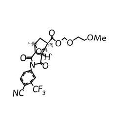 COCCOCOC(=O)[C@@H]1C[C@@]2(C)O[C@]1(C)[C@@H]1C(=O)N(c3ccc(C#N)c(C(F)(F)F)c3)C(=O)C12